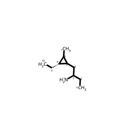 CCC(N)CC1C(C)[C@H]1CC